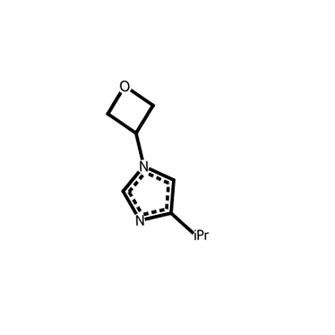 CC(C)c1cn(C2COC2)cn1